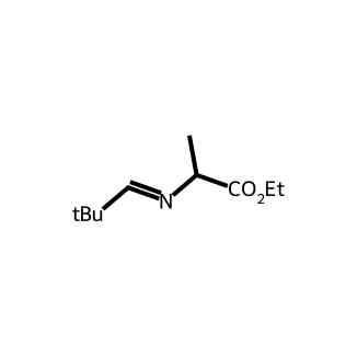 CCOC(=O)C(C)/N=C/C(C)(C)C